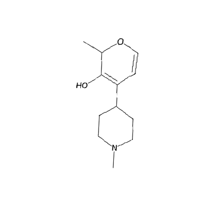 CC1OC=CC(C2CCN(C)CC2)=C1O